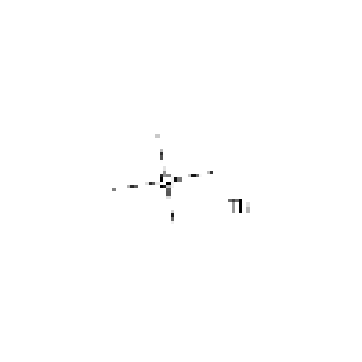 [CH2][Si](C)(C)C.[Th]